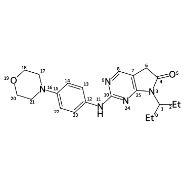 CCC(CC)N1C(=O)Cc2cnc(Nc3ccc(N4CCOCC4)cc3)nc21